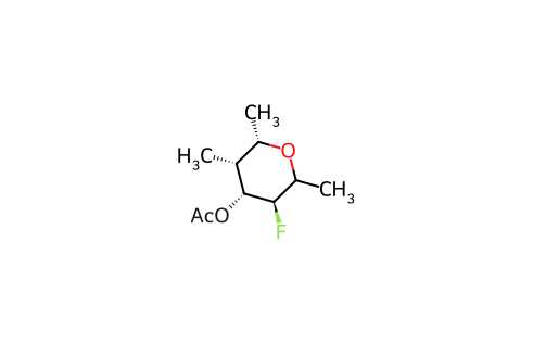 CC(=O)O[C@@H]1[C@H](C)[C@H](C)OC(C)[C@H]1F